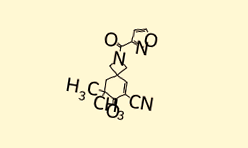 CC1(C)CC2(C=C(C#N)C1=O)CN(C(=O)c1ccon1)C2